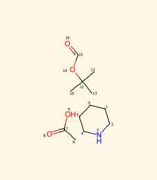 C1CCNCC1.CC(=O)O.CC(C)(C)OC=O